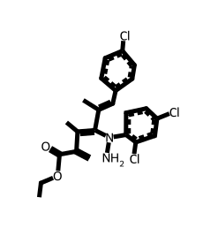 C=C(C(=O)OCC)/C(C)=C(/C(C)=C/c1ccc(Cl)cc1)N(N)c1ccc(Cl)cc1Cl